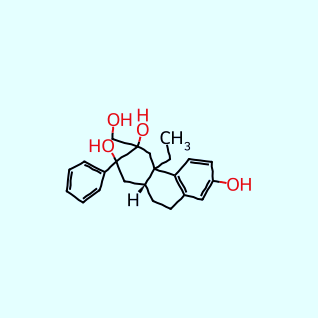 CCC12CC(O)(CO)C(O)(c3ccccc3)C[C@H]1CCc1cc(O)ccc12